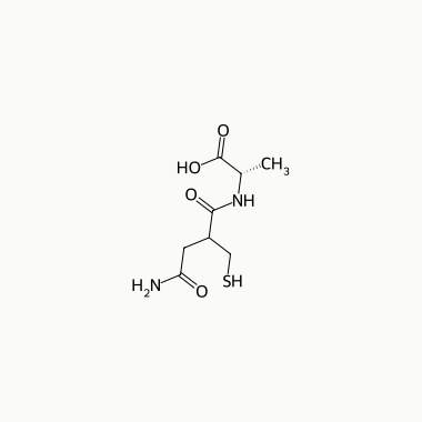 C[C@H](NC(=O)C(CS)CC(N)=O)C(=O)O